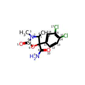 CC1N(C)[Si](=O)OC1(C(N)=O)c1ccc(Cl)c(Cl)c1